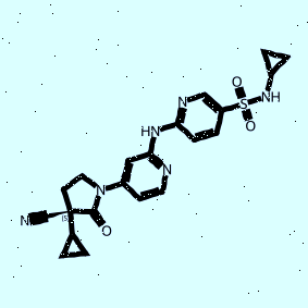 N#C[C@@]1(C2CC2)CCN(c2ccnc(Nc3ccc(S(=O)(=O)NC4CC4)cn3)c2)C1=O